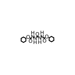 O=C(NNC(=O)OC1CCCCC1)NNC(=O)OC1CCCCC1